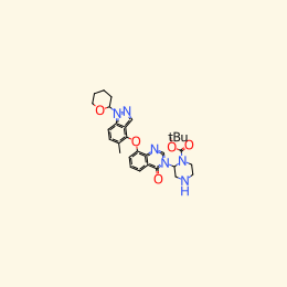 Cc1ccc2c(cnn2C2CCCCO2)c1Oc1cccc2c(=O)n(C3CNCCN3C(=O)OC(C)(C)C)cnc12